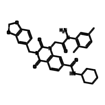 Cc1ccc(C)c(N(N)C(=O)Cn2c(=O)n(Cc3ccc4c(c3)OCO4)c(=O)c3ccc(C(=O)NC4CCCCC4)cc32)c1